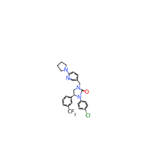 O=C1N(Cc2ccc(N3CCCC3)nc2)C[C@H](c2cccc(C(F)(F)F)c2)N1c1ccc(Cl)cc1